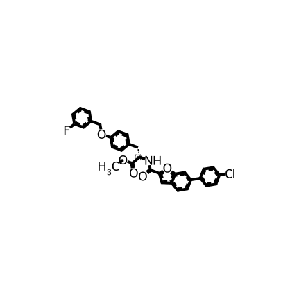 COC(=O)[C@H](Cc1ccc(OCc2cccc(F)c2)cc1)NC(=O)c1cc2ccc(-c3ccc(Cl)cc3)cc2o1